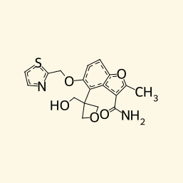 Cc1oc2ccc(OCc3nccs3)c(C3(CO)COC3)c2c1C(N)=O